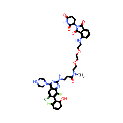 CN(CCOCCOCCNc1cccc2c1C(=O)N(C1CCC(=O)NC1=O)C2=O)C(=O)CCNc1nc(N2CCNCC2)c2cc(Cl)c(C3=C(F)C=CCC3O)c(F)c2n1